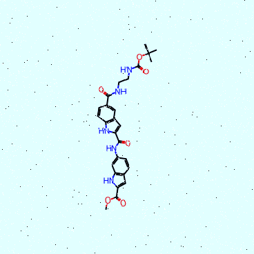 COC(=O)c1cc2ccc(NC(=O)c3cc4cc(C(=O)NCCNC(=O)OC(C)(C)C)ccc4[nH]3)cc2[nH]1